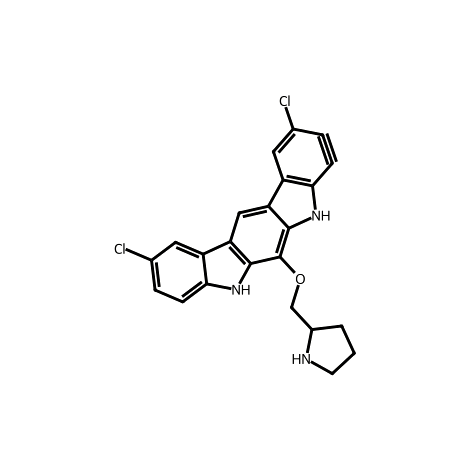 Clc1c#cc2[nH]c3c(OCC4CCCN4)c4[nH]c5ccc(Cl)cc5c4cc3c2c1